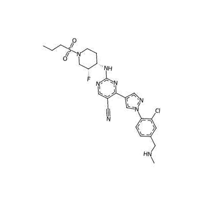 CCCS(=O)(=O)N1CC[C@H](Nc2ncc(C#N)c(-c3cnn(-c4ccc(CNC)cc4Cl)c3)n2)[C@H](F)C1